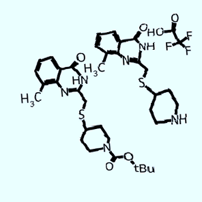 Cc1cccc2c(=O)[nH]c(CSC3CCN(C(=O)OC(C)(C)C)CC3)nc12.Cc1cccc2c(=O)[nH]c(CSC3CCNCC3)nc12.O=C(O)C(F)(F)F